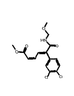 COCNC(=O)/C(=C/C=C\C(=O)OC)c1ccc(Cl)c(Cl)c1